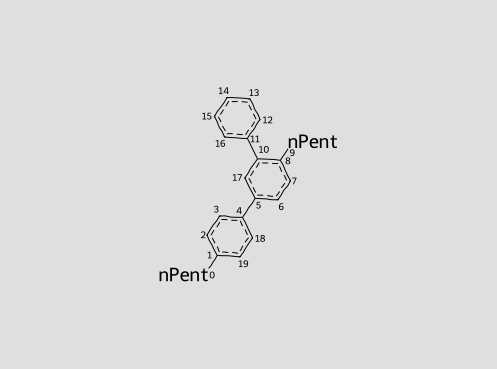 CCCCCc1ccc(-c2ccc(CCCCC)c(-c3ccccc3)c2)cc1